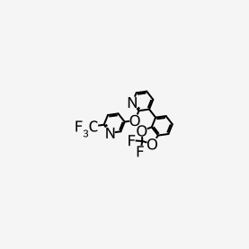 FC1(F)Oc2cccc(-c3cccnc3Oc3ccc(C(F)(F)F)nc3)c2O1